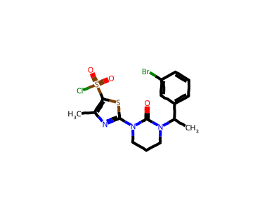 Cc1nc(N2CCCN(C(C)c3cccc(Br)c3)C2=O)sc1S(=O)(=O)Cl